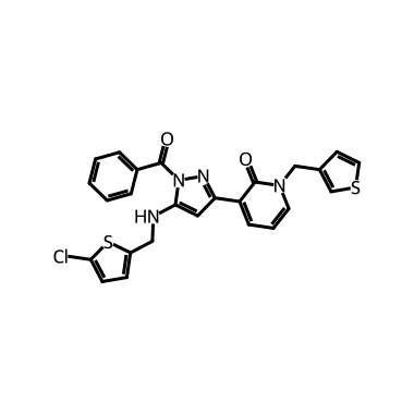 O=C(c1ccccc1)n1nc(-c2cccn(Cc3ccsc3)c2=O)cc1NCc1ccc(Cl)s1